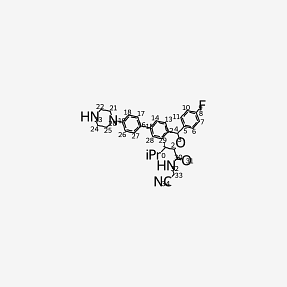 CC(C)CC(OC(c1ccc(F)cc1)c1ccc(-c2ccc(N3CCNCC3)cc2)cc1)C(=O)NCC#N